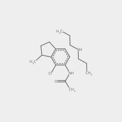 CC(=O)Nc1ccc2c(c1Cl)C(C)CC2.CCCNCCC